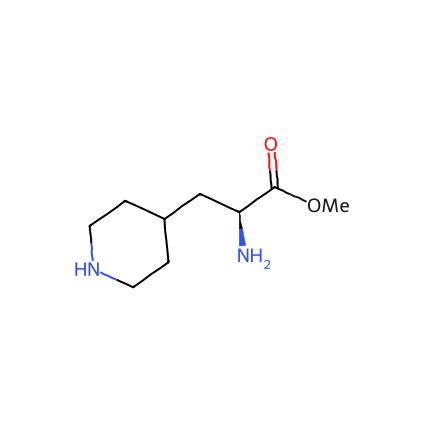 COC(=O)[C@@H](N)CC1CCNCC1